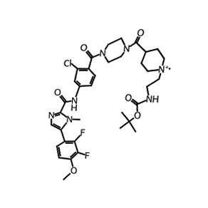 COc1ccc(-c2cnc(C(=O)Nc3ccc(C(=O)N4CCN(C(=O)C5CC[N+](C)(CCNC(=O)OC(C)(C)C)CC5)CC4)c(Cl)c3)n2C)c(F)c1F